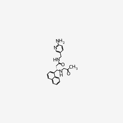 CC(=O)CN[C@@H](CC(=O)NCc1ccc(N)nc1)c1cccc2ccccc12